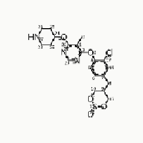 Cc1c(Oc2ccc(CC3COS(=O)OC3)cc2Cl)ncnc1OC1CCNCC1